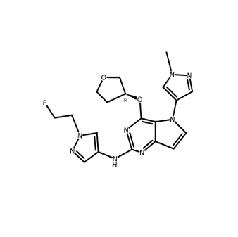 Cn1cc(-n2ccc3nc(Nc4cnn(CCF)c4)nc(O[C@H]4CCOC4)c32)cn1